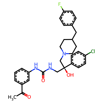 CC(=O)c1cccc(NC(=O)NC[C@](O)(CN2CCC(Cc3ccc(F)cc3)CC2)c2ccc(Cl)cc2)c1